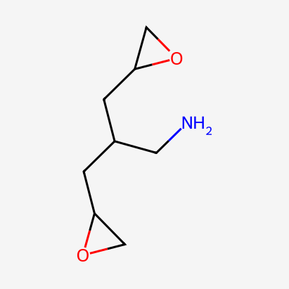 NCC(CC1CO1)CC1CO1